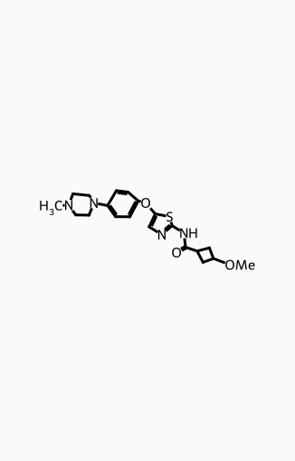 COC1CC(C(=O)Nc2ncc(Oc3ccc(N4CCN(C)CC4)cc3)s2)C1